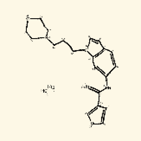 Cl.Cl.N=C(Nc1ccc2ccn(CCCN3CCOCC3)c2c1)c1ccoc1